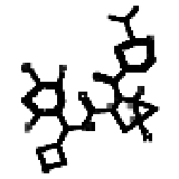 CC(C)c1cc(C(=O)N2[C@@H](C(=O)NC(c3cc(F)c(Cl)cc3F)C3COC3)C[C@H]3C[C@H]32)ccn1